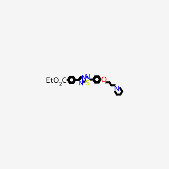 CCOC(=O)c1ccc(-c2cn3nc(-c4ccc(OCCCCN5CCCCC5)cc4)sc3n2)cc1